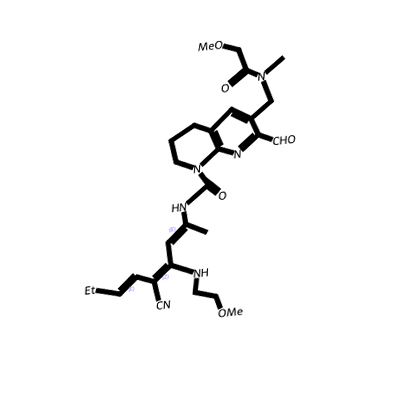 CC/C=C/C(C#N)=C(\C=C(/C)NC(=O)N1CCCc2cc(CN(C)C(=O)COC)c(C=O)nc21)NCCOC